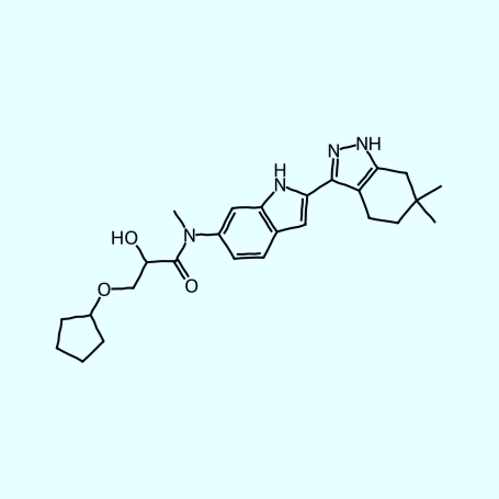 CN(C(=O)C(O)COC1CCCC1)c1ccc2cc(-c3n[nH]c4c3CCC(C)(C)C4)[nH]c2c1